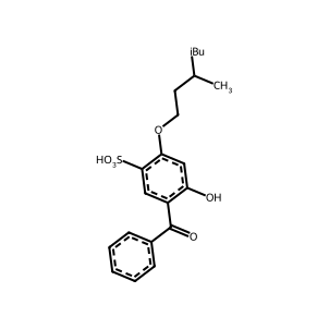 CCC(C)C(C)CCOc1cc(O)c(C(=O)c2ccccc2)cc1S(=O)(=O)O